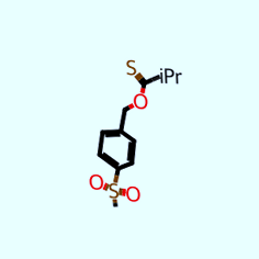 CC(C)C(=S)OCc1ccc(S(C)(=O)=O)cc1